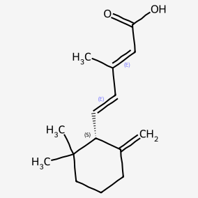 C=C1CCCC(C)(C)[C@@H]1/C=C/C(C)=C/C(=O)O